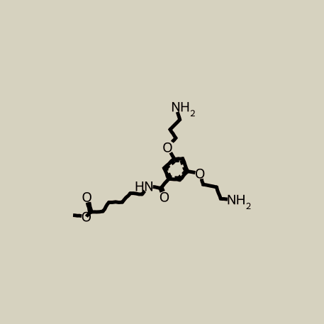 COC(=O)CCCCCNC(=O)c1cc(OCCCN)cc(OCCCN)c1